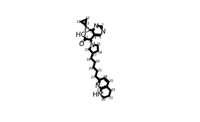 O=C(O)C(c1cncnc1OC1CC1)N1CCC(CCCCCc2ccc3c(n2)NCCC3)C1